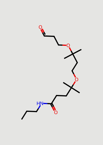 CCCNC(=O)CCC(C)(C)OCCC(C)(C)OCCC=O